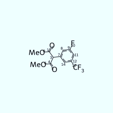 COC(=O)C(C(=O)OC)c1cc(F)cc(C(F)(F)F)c1